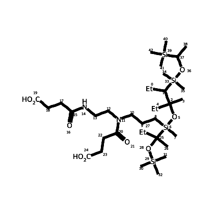 CCC(C(C)(CC)O[Si](C)(CCCN(CCNC(=O)CCC(=O)O)C(=O)CCC(=O)O)C(C)(CC)O[Si](C)(C)C)[Si](C)(C)OC(C)[Si](C)(C)C